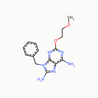 COCCOc1nc(N)c2nc(N)n(Cc3ccccc3)c2n1